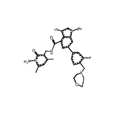 Cc1cc(C)n(N)c(=O)c1CNC(=O)c1cc(-c2ccc(CN3CCOCC3)c(F)c2)cc2c1c(Cl)cn2C(C)C